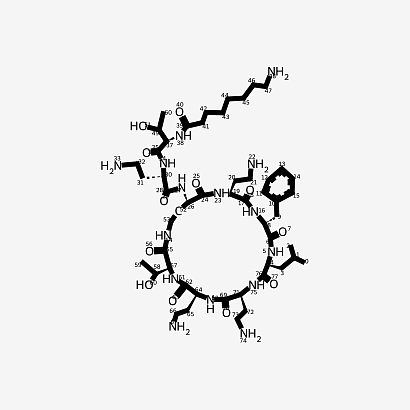 CC(C)C[C@@H]1NC(=O)[C@@H](Cc2ccccc2)NC(=O)[C@H](CCN)NC(=O)[C@@H](NC(=O)[C@H](CCN)NC(=O)[C@@H](NC(=O)CCCCCCCN)C(C)O)CCNC(=O)[C@H](C(C)O)NC(=O)[C@H](CCN)NC(=O)[C@H](CCN)NC1=O